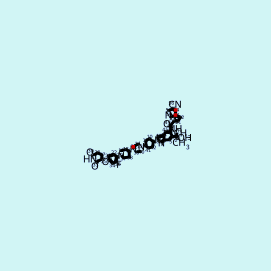 CC(C)(O)c1cc2nn(C3CCC(N4CCN(C5CCN(c6ccc(OC7CCC(=O)NC7=O)cc6F)CC5)CC4)CC3)cc2cc1NC(=O)c1ccc2cc(C#N)cnn12